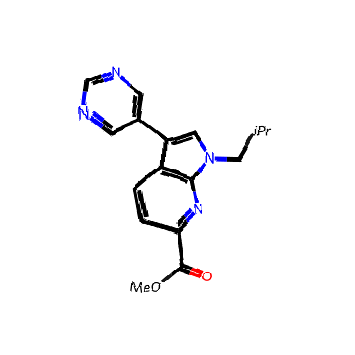 COC(=O)c1ccc2c(-c3cncnc3)cn(CC(C)C)c2n1